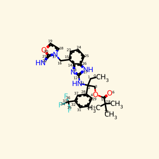 CCC(COC(=O)C(C)(C)C)(Nc1nc2c(Cn3ccoc3=N)cccc2[nH]1)c1cccc(C(F)(F)F)c1